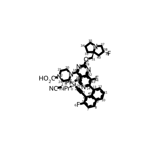 CC(C)[Si](C#Cc1c(F)ccc2cccc(-c3ncc4c(N5CCN(C(=O)O)[C@@H](CC#N)C5)nc(OC[C@@]56CCCN5C[C@H](F)C6)nc4c3F)c12)(C(C)C)C(C)C